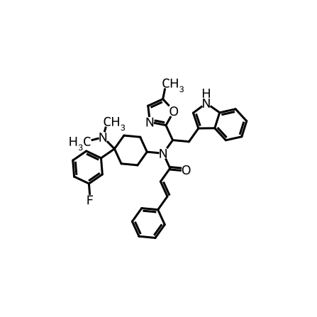 Cc1cnc(C(Cc2c[nH]c3ccccc23)N(C(=O)/C=C/c2ccccc2)C2CCC(c3cccc(F)c3)(N(C)C)CC2)o1